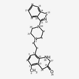 Cc1ccc(CCN2CCN(c3nsc4ccccc34)CC2)c2c1CC(=O)CN2